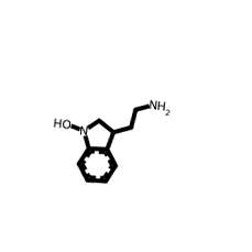 NCCC1CN(O)c2ccccc21